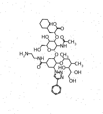 CC(=O)NC1C(O[C@@H](CC2CCCCC2)C(=O)O)C(O)[C@H](CO)O[C@H]1OC1CC(C(=O)NCCN)CC(n2cc(-c3ccccc3)nn2)C1O[C@@H](C)CC(C)C(O)[C@H](O)CO